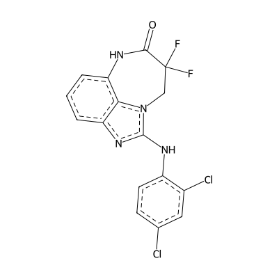 O=C1Nc2cccc3nc(Nc4ccc(Cl)cc4Cl)n(c23)CC1(F)F